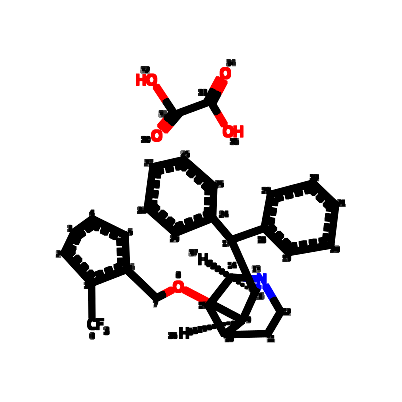 FC(F)(F)c1ccccc1CO[C@@H]1C2CCN(CC2)[C@@H]1C(c1ccccc1)c1ccccc1.O=C(O)C(=O)O